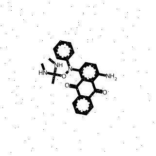 CNC(C)(NC)ON(c1ccccc1)c1ccc(N)c2c1C(=O)c1ccccc1C2=O